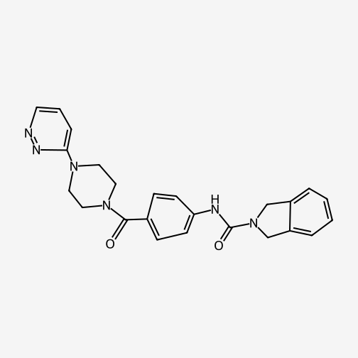 O=C(Nc1ccc(C(=O)N2CCN(c3cccnn3)CC2)cc1)N1Cc2ccccc2C1